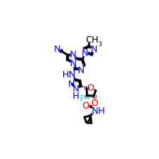 Cc1cn(-c2cnc(Nc3cc([C@@H]4OC[C@H](OC(=O)NC56CC(C5)C6)[C@H]4F)[nH]n3)n3cc(C#N)nc23)cn1